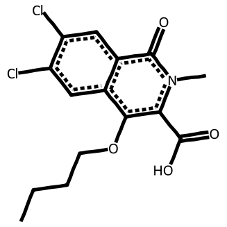 CCCCOc1c(C(=O)O)n(C)c(=O)c2cc(Cl)c(Cl)cc12